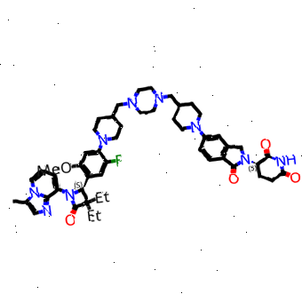 CCC1(CC)C(=O)N(c2cccn3c(C)cnc23)[C@H]1c1cc(F)c(N2CCC(CN3CCN(CC4CCN(c5ccc6c(c5)CN([C@H]5CCC(=O)NC5=O)C6=O)CC4)CC3)CC2)cc1OC